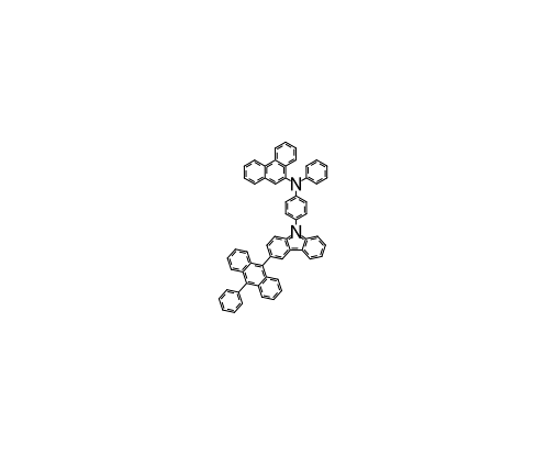 c1ccc(-c2c3ccccc3c(-c3ccc4c(c3)c3ccccc3n4-c3ccc(N(c4ccccc4)c4cc5ccccc5c5ccccc45)cc3)c3ccccc23)cc1